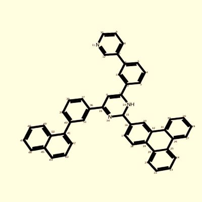 C1=C(c2cccc(-c3cccnc3)c2)NC(c2ccc3c4ccccc4c4ccccc4c3c2)N=C1c1cccc(-c2cccc3ccccc23)c1